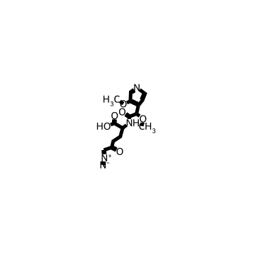 COc1cnccc1C(OC)C(=O)NC(CCC(=O)C=[N+]=[N-])C(=O)O